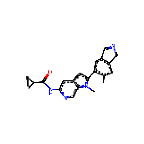 Cc1cc2c(cc1-c1cc3cc(NC(=O)C4CC4)ncc3n1C)C=NC2